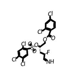 N=C[C@@H](F)C[C@@H](COC(=O)c1ccc(Cl)cc1Cl)OS(=O)(=O)c1cc(Cl)c(Cl)cc1Cl